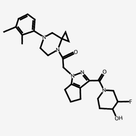 Cc1cccc(N2CCN(C(=O)Cn3nc(C(=O)N4CCC(O)C(F)C4)c4c3CCC4)C3(CC3)C2)c1C